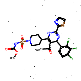 COC(=O)C1=C(C2CCN(S(=O)(=O)NC(=O)OC(C)(C)C)CC2)NC(c2nccs2)=NC1c1ccc(F)c(F)c1Cl